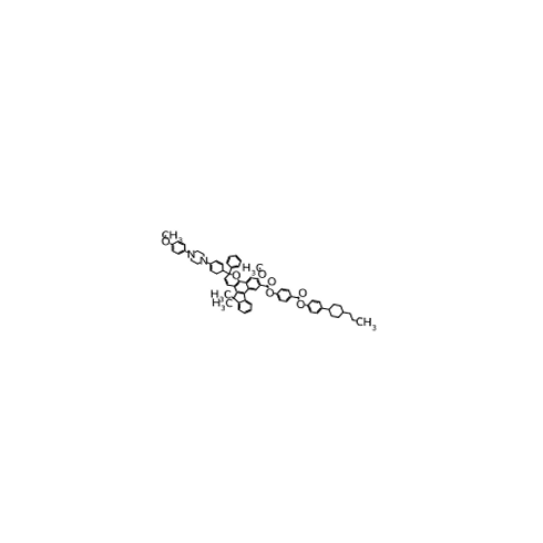 CCCC1CCC(c2ccc(OC(=O)c3ccc(OC(=O)c4cc5c6c(c7c(c5cc4OC)OC(c4ccccc4)(C4C=CC(N5CCN(c8ccc(OC)cc8)CC5)=CC4)C=C7)C(C)(C)c4ccccc4-6)cc3)cc2)CC1